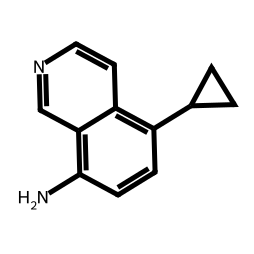 Nc1ccc(C2CC2)c2ccncc12